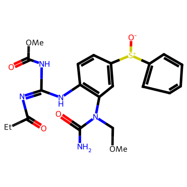 CCC(=O)N=C(NC(=O)OC)Nc1ccc([S+]([O-])c2ccccc2)cc1N(COC)C(N)=O